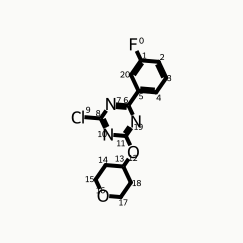 Fc1cccc(-c2nc(Cl)nc(OC3CCOCC3)n2)c1